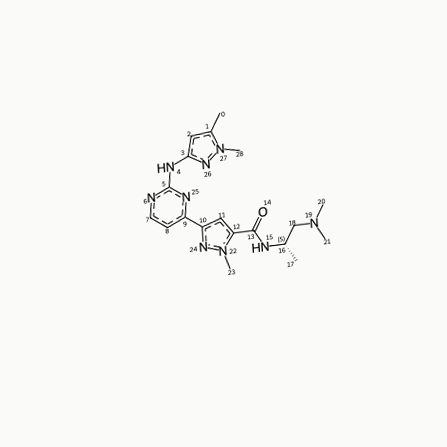 Cc1cc(Nc2nccc(-c3cc(C(=O)N[C@@H](C)CN(C)C)n(C)n3)n2)nn1C